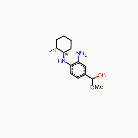 COC(O)c1ccc(N[C@@H]2CCCC[C@H]2C)c(N)c1